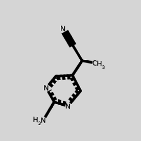 CC(C#N)c1cnc(N)nc1